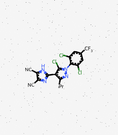 CC(C)c1nn(-c2c(Cl)cc(C(F)(F)F)cc2Cl)c(Cl)c1-c1nc(C#N)c(C#N)[nH]1